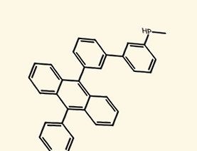 CPc1cccc(-c2cccc(-c3c4ccccc4c(-c4ccccc4)c4ccccc34)c2)c1